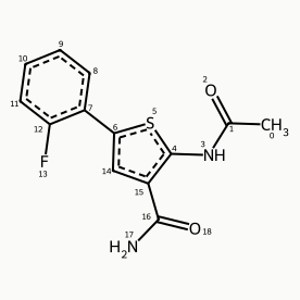 CC(=O)Nc1sc(-c2ccccc2F)cc1C(N)=O